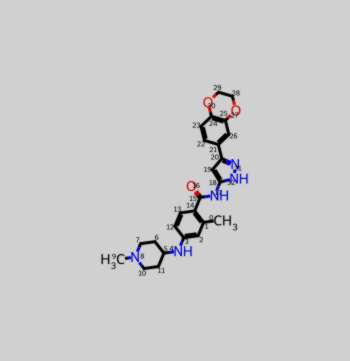 Cc1cc(NC2CCN(C)CC2)ccc1C(=O)Nc1cc(-c2ccc3c(c2)OCCO3)n[nH]1